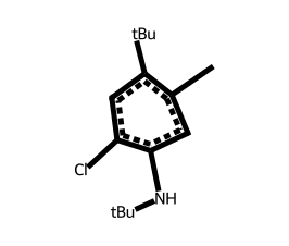 Cc1cc(NC(C)(C)C)c(Cl)cc1C(C)(C)C